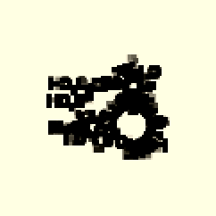 CCC(CC(=O)O)C(=O)O.CC[C@H]1OC(=O)[C@H](C)[C@@H](O[C@H]2C[C@@](C)(OC)[C@@H](O)[C@H](C)O2)[C@@H](C)[C@@H](O[C@@H]2O[C@H](C)C[C@H](N(C)C)[C@H]2O)[C@](C)(O)C[C@@H](C)C(=O)[C@H](C)[C@H](O)[C@]1(C)O.O